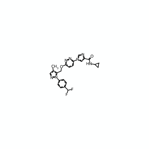 Cc1cnn(-c2ccc(C(F)F)cc2)c1COc1ccc(-n2cnc(C(=O)NC3CC3)c2)nn1